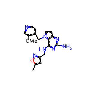 COc1cnccc1Cn1ccc2nc(N)nc(NCc3cc(C)on3)c21